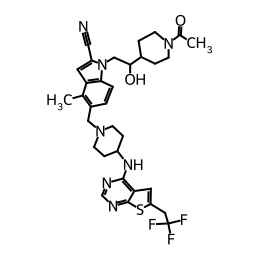 CC(=O)N1CCC(C(O)Cn2c(C#N)cc3c(C)c(CN4CCC(Nc5ncnc6sc(CC(F)(F)F)cc56)CC4)ccc32)CC1